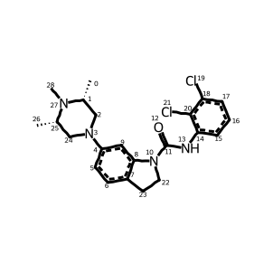 C[C@@H]1CN(c2ccc3c(c2)N(C(=O)Nc2cccc(Cl)c2Cl)CC3)C[C@H](C)N1C